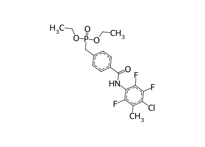 CCOP(=O)(Cc1ccc(C(=O)Nc2c(F)c(C)c(Cl)c(F)c2F)cc1)OCC